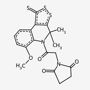 COc1cccc2c1N(C(=O)CN1C(=O)CCC1=O)C(C)(C)c1ssc(=S)c1-2